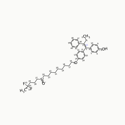 CC/C(=C(\c1ccc(O)cc1)c1ccc(OCCCCCCCCC[S+]([O-])CCCC(C)(F)F)cc1)c1ccccc1